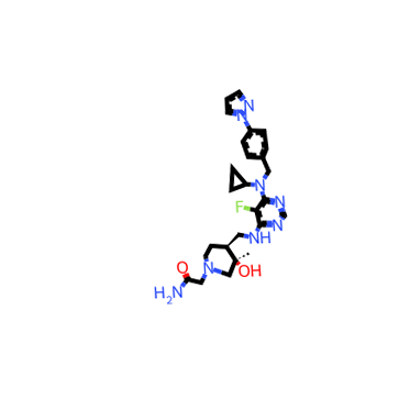 C[C@]1(O)CN(CC(N)=O)CC[C@H]1CNc1ncnc(N(Cc2ccc(-n3cccn3)cc2)C2CC2)c1F